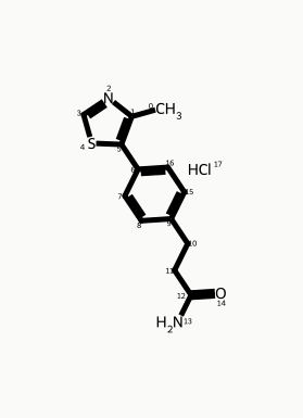 Cc1ncsc1-c1ccc(CCC(N)=O)cc1.Cl